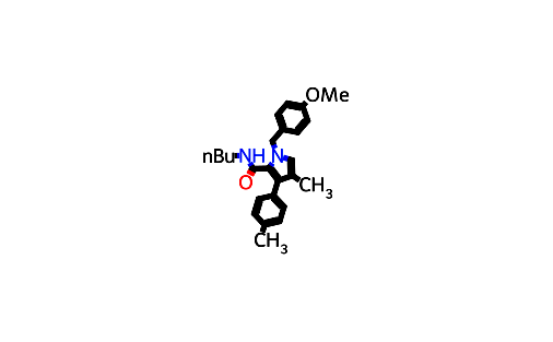 CCCCNC(=O)c1c(-c2ccc(C)cc2)c(C)cn1Cc1ccc(OC)cc1